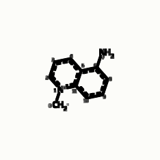 [CH2][n+]1cccc2c(N)cccc21